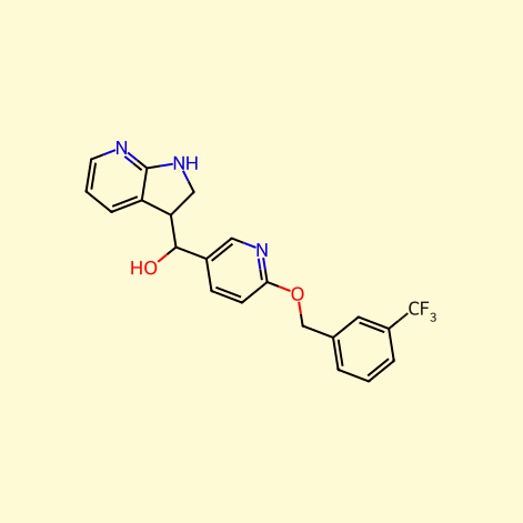 OC(c1ccc(OCc2cccc(C(F)(F)F)c2)nc1)C1CNc2ncccc21